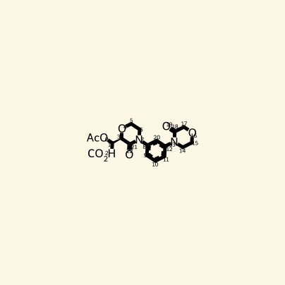 CC(=O)OC(C(=O)O)[C@H]1OCCN(c2cccc(N3CCOCC3=O)c2)C1=O